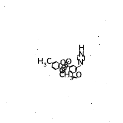 COc1ccc(C)cc1OS(=O)(=O)c1cc(CN2CCNCC2)c2occc2c1